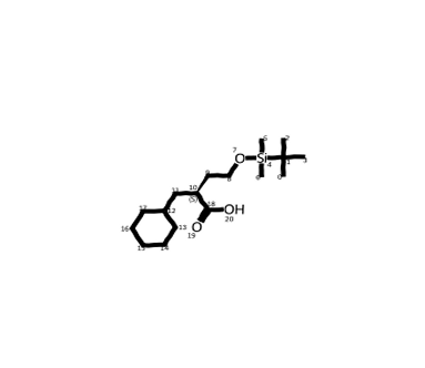 CC(C)(C)[Si](C)(C)OCC[C@H](CC1CCCCC1)C(=O)O